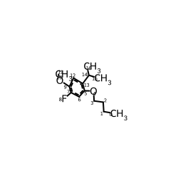 CCCCOc1cc(F)c(OC)cc1C(C)C